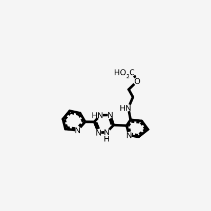 O=C(O)OCCNc1cccnc1C1=NNC(c2ccccn2)=NN1